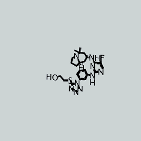 CC1(C)C[C@H](Nc2nc(Nc3cccc(-n4nnnc4SCCO)c3)ncc2F)C[C@@H]2CCCN21